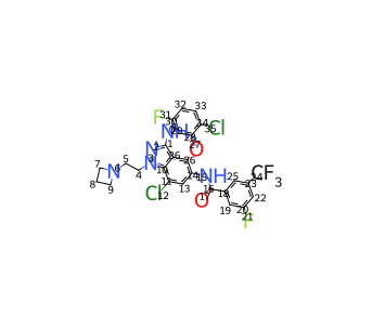 Nc1nn(CCN2CCC2)c2c(Cl)cc(NC(=O)c3cc(F)cc(C(F)(F)F)c3)c(Oc3cc(F)ccc3Cl)c12